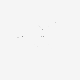 CC(C)=C(O)[C@H](C)N